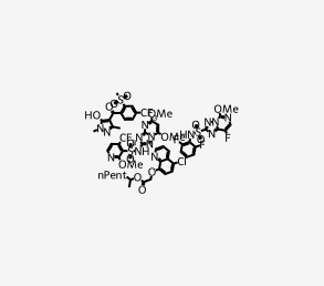 CCCCCC(C)OC(=O)COc1ccc(Cl)c2cccnc12.COc1cc(OC)n2nc(NS(=O)(=O)c3c(C(F)(F)F)ccnc3OC)nc2n1.COc1ncc(F)c2nc(S(=O)(=O)Nc3c(F)cccc3F)nn12.Cc1nn(C)c(O)c1C(=O)c1ccc(C(F)(F)F)cc1S(C)(=O)=O